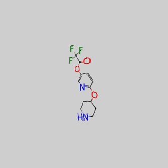 O=C(Oc1ccc(OC2CCNCC2)nc1)C(F)(F)F